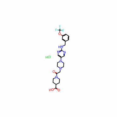 Cl.O=C(O)C1CCN(C(=O)CN2CCN(c3cnc(NCc4cccc(OC(F)(F)F)c4)nc3)CC2)CC1